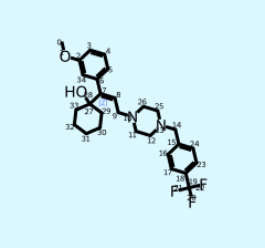 COc1cccc(/C(=C/CN2CCN(Cc3ccc(C(F)(F)F)cc3)CC2)C2(O)CCCCC2)c1